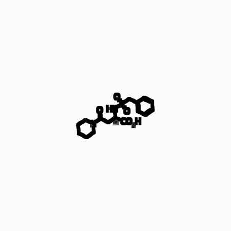 O=C(O)[C@@H](CC(=O)N1CCCCC1)NS(=O)(=O)Cc1ccccc1